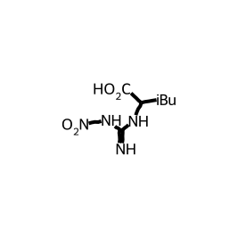 CCC(C)C(NC(=N)N[N+](=O)[O-])C(=O)O